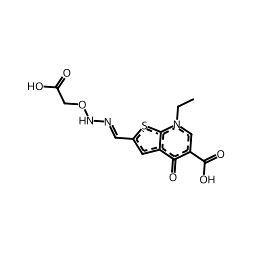 CCn1cc(C(=O)O)c(=O)c2cc(C=NNOCC(=O)O)sc21